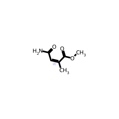 COC(=O)/C(C)=C\C(N)=O